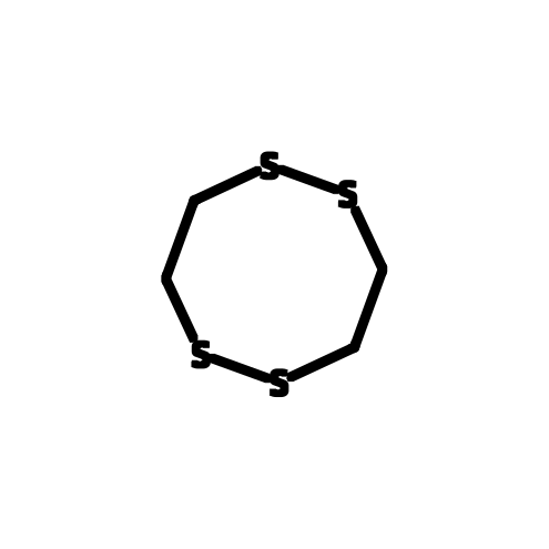 C1CSSCCSS1